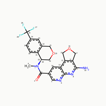 CN(C(=O)c1cnc2nc(N)c3c(c2c1)COC3)[C@@H]1COCc2cc(C(F)(F)F)ccc21